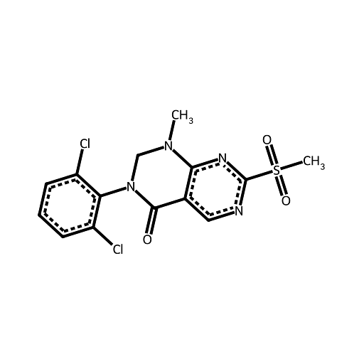 CN1CN(c2c(Cl)cccc2Cl)C(=O)c2cnc(S(C)(=O)=O)nc21